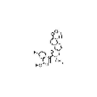 COc1ccc2cc(CC(C)C(=O)Nc3ccc(F)cc3C(=O)O)ccc2c1Cl